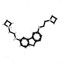 c1cc2c(cc1OCCN1CCC1)-c1cc(OCCN3CCC3)ccc1C2